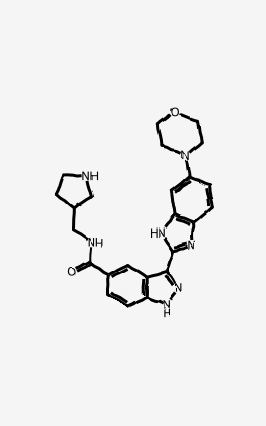 O=C(NCC1CCNC1)c1ccc2[nH]nc(-c3nc4ccc(N5CCOCC5)cc4[nH]3)c2c1